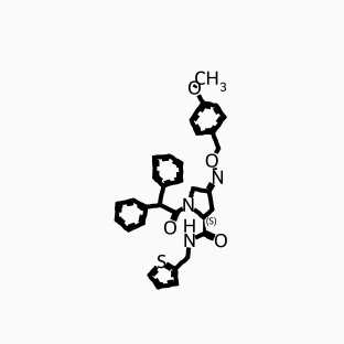 COc1ccc(CON=C2C[C@@H](C(=O)NCc3cccs3)N(C(=O)C(c3ccccc3)c3ccccc3)C2)cc1